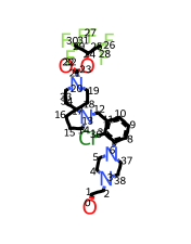 O=CCN1CCN(c2cccc(CN3CCCC34CCN(C(=O)OC(C(F)(F)F)C(F)(F)F)CC4)c2Cl)CC1